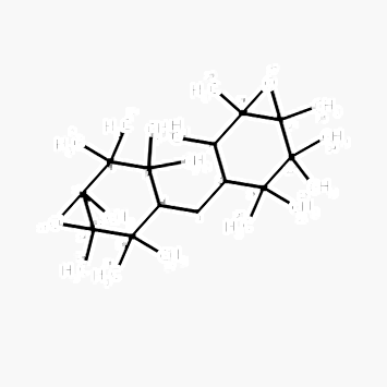 CC1C(CC2C(C)(C)C(C)(C)C3(C)OC3(C)C2(C)C)C(C)(C)C(C)(C)C2(C)OC12C